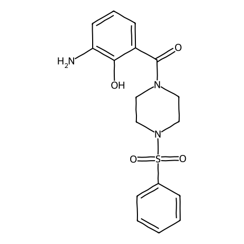 Nc1cccc(C(=O)N2CCN(S(=O)(=O)c3ccccc3)CC2)c1O